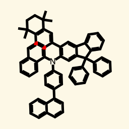 CC1(C)CCC(C)(C)c2cc(-c3cc4c(cc3N(c3ccc(-c5cccc6ccccc56)cc3)c3cccc5ccccc35)C(c3ccccc3)(c3ccccc3)c3ccccc3-4)ccc21